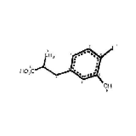 CC(Cc1ccc(I)c(O)c1)C(=O)O